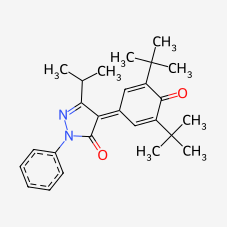 CC(C)C1=NN(c2ccccc2)C(=O)C1=C1C=C(C(C)(C)C)C(=O)C(C(C)(C)C)=C1